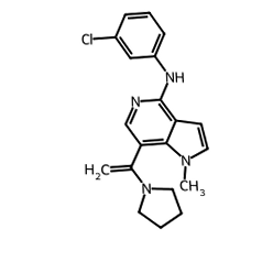 C=C(c1cnc(Nc2cccc(Cl)c2)c2ccn(C)c12)N1CCCC1